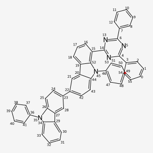 c1ccc(-c2nc(-c3ccccc3)nc(-c3cccc4c5cc(-c6ccc7c(c6)c6ccccc6n7-c6ccccc6)ccc5n(-c5ccccc5)c34)n2)cc1